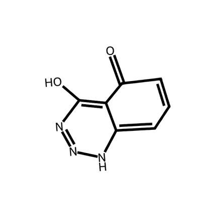 O=c1cccc2[nH]nnc(O)c1-2